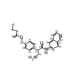 C=C(CCC)OCc1ccc(C(CN)C(=O)Nc2ccc3cnccc3c2)cc1